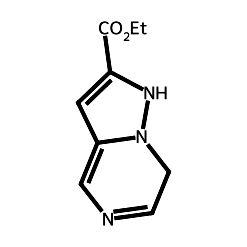 CCOC(=O)C1=CC2=CN=CCN2N1